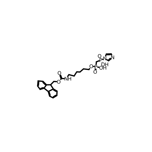 O=C(NCCCCCCOP(=O)(O)CP(=O)(O)n1ccnc1)OCC1c2ccccc2-c2ccccc21